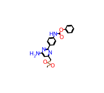 CS(=O)(=O)Cc1cc(N)nc(-c2ccc(NC(=O)Oc3ccccc3)cc2)n1